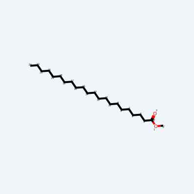 [CH2]OC(=O)CCCCCCCCCCCCCCCCCCCCC